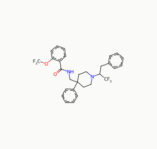 O=C(NCC1(c2ccccc2)CCN(C(Cc2ccccc2)C(F)(F)F)CC1)c1ccccc1OC(F)(F)F